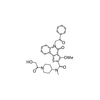 COc1c(C(=O)N(C)C2CCN(C(=O)CO)CC2)sc2c1c(=O)n(CC(=O)c1ccccc1)c1ccccc21